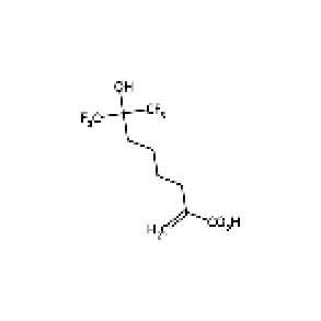 C=C(CCCCC(O)(C(F)(F)F)C(F)(F)F)C(=O)O